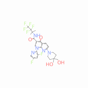 CC(C)(NC(=O)c1cn(-c2ncc(F)cc2F)c2nc(N3CCC(CO)(CO)CC3)ccc2c1=O)C(F)(F)C(F)(F)F